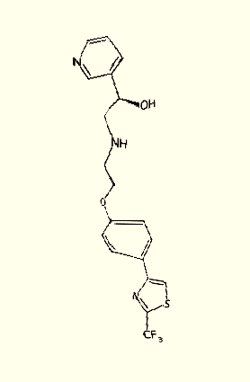 O[C@@H](CNCCOc1ccc(-c2csc(C(F)(F)F)n2)cc1)c1cccnc1